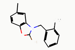 COc1ccccc1CN1c2cc(C)ccc2OC1S